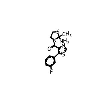 CC1(N)SCCN1C(=O)c1ncsc1-c1cccc(F)c1